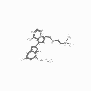 COc1cc(C)cc2cc(-c3cc(COCCN(C)C)n4ncnc(N)c34)sc12.Cl.Cl